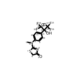 CN(C1=NC(=O)CS1)c1ccc(C(O)(C(F)(F)Cl)C(F)(F)Cl)cc1